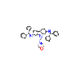 c1ccc(C(=Nc2ccc3c4ccc(N=C(c5ccccc5)c5ccccc5)cc4n(CCN4CCOCC4)c3c2)c2ccccc2)cc1